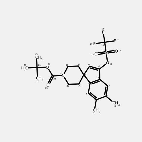 Cc1cc2c(cc1C)C1(C=C2OS(=O)(=O)C(F)(F)F)CCN(C(=O)OC(C)(C)C)CC1